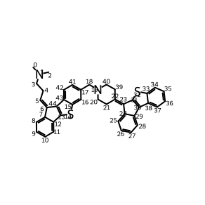 CN(C)CC/C=C1/c2ccccc2-c2sc3cc(CN4CCC(=C5c6ccccc6-c6c5sc5ccccc65)CC4)ccc3c21